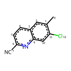 Cc1cc2ccc(C#N)nc2cc1Cl